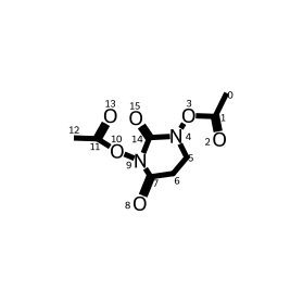 CC(=O)ON1CCC(=O)N(OC(C)=O)C1=O